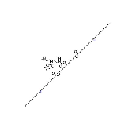 CCCCCCCC/C=C/CCCCCCCC(=O)OCCCCC(CCCCOC(=O)CCCCCCC/C=C/CCCCCCCC)OC(=O)NCCN(CCN(C)C)C(=O)OC(C)(C)C